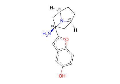 N[C@H]1C[C@H]2CC[C@@H](C1)N2Cc1cc2cc(O)ccc2o1